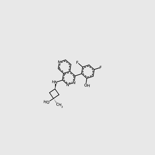 C[C@]1(O)C[C@@H](Nc2nnc(-c3c(O)cc(F)cc3F)c3ccncc23)C1